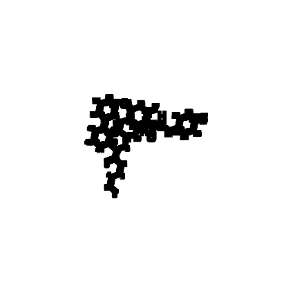 C=C(/C=C\C=C/C)C(CN1C[C@H]2N(C(=O)CN(C)N2C(=O)NCc2ccc(F)cc2)[C@@H](c2ccccc2)C1=O)c1ccccc1